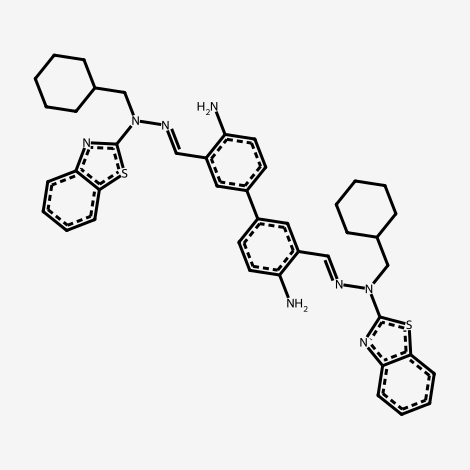 Nc1ccc(-c2ccc(N)c(/C=N/N(CC3CCCCC3)c3nc4ccccc4s3)c2)cc1/C=N/N(CC1CCCCC1)c1nc2ccccc2s1